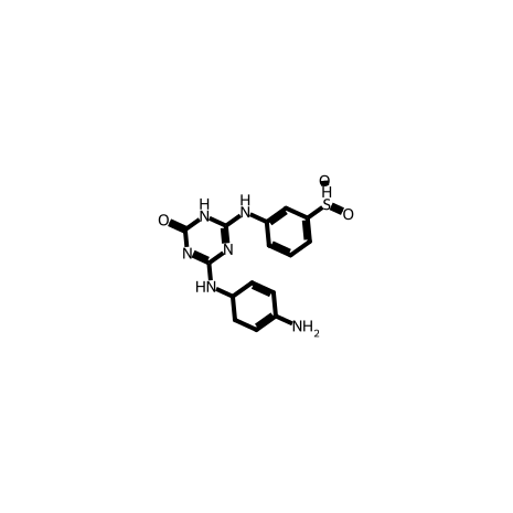 NC1=CCC(Nc2nc(Nc3cccc([SH](=O)=O)c3)[nH]c(=O)n2)C=C1